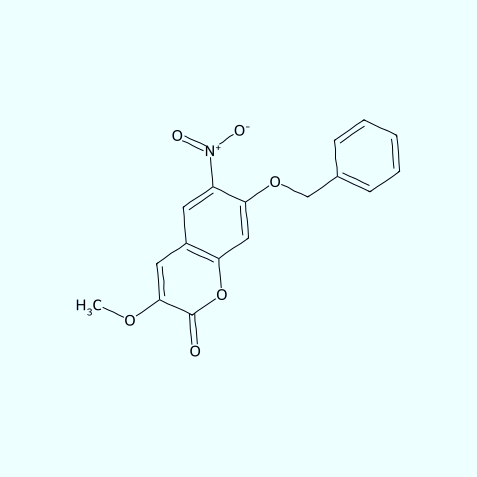 COc1cc2cc([N+](=O)[O-])c(OCc3ccccc3)cc2oc1=O